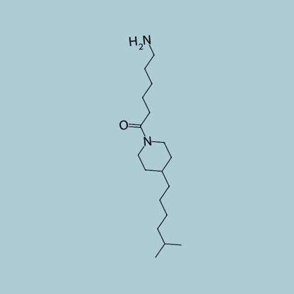 CC(C)CCCCC1CCN(C(=O)CCCCCN)CC1